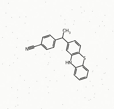 CC(c1ccc(C#N)cc1)c1ccc2c(c1)Nc1ccccc1S2